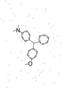 COc1ccc(C(c2ccccc2)c2ccc(N(C)C)cc2)cc1